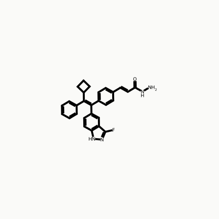 NNC(=O)C=Cc1ccc(C(=C(c2ccccc2)C2CCC2)c2ccc3[nH]nc(F)c3c2)cc1